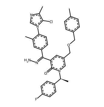 Cc1ccc(COCc2cc(/C(=N/N)c3ccc(-n4cnc(C)c4Cl)c(C)c3)c(=O)n([C@@H](C)c3ccc(F)cc3)c2)cc1